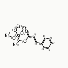 CCO[Si](OCC)(OCC)C(CC)OC(=O)/C=C/c1ccccc1